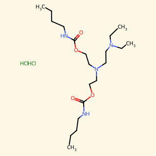 CCCCNC(=O)OCCN(CCOC(=O)NCCCC)CCN(CC)CC.Cl.Cl